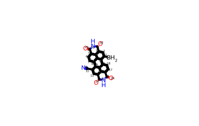 Bc1cc2c3c(ccc4c5c(C#N)cc6c7c(ccc(c1c34)c75)C(=O)NC6=O)C(=O)NC2=O